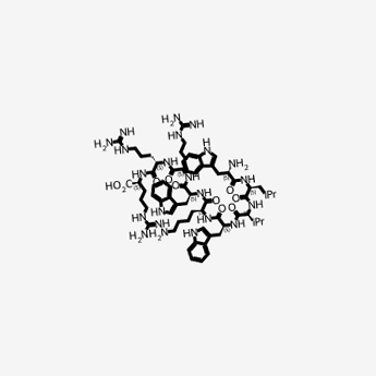 CC(C)C[C@H](NC(=O)[C@@H](N)Cc1c[nH]c2ccccc12)C(=O)N[C@H](C(=O)N[C@@H](Cc1c[nH]c2ccccc12)C(=O)N[C@@H](CCCCN)C(=O)N[C@@H](Cc1c[nH]c2ccccc12)C(=O)N[C@@H](CCCNC(=N)N)C(=O)N[C@@H](CCCNC(=N)N)C(=O)N[C@@H](CCCNC(=N)N)C(=O)O)C(C)C